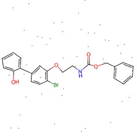 O=C(NCCOc1cc(-c2ccccc2O)ccc1Br)OCc1ccccc1